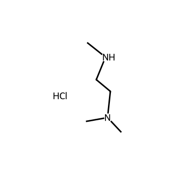 CNCCN(C)C.Cl